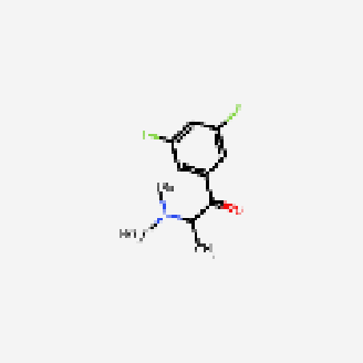 CC(C(=O)c1cc(F)cc(F)c1)N(C(=O)O)C(C)(C)C